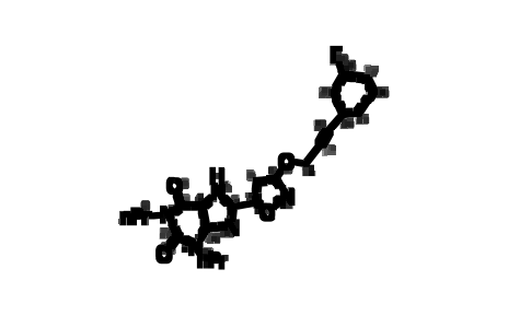 CCCn1c(=O)c2[nH]c(-c3cc(OCC#Cc4cccc(F)c4)no3)nc2n(CCC)c1=O